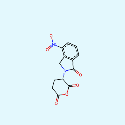 O=C1CC[C@H](N2Cc3c(cccc3[N+](=O)[O-])C2=O)C(=O)O1